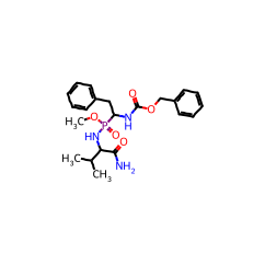 COP(=O)(NC(C(N)=O)C(C)C)C(Cc1ccccc1)NC(=O)OCc1ccccc1